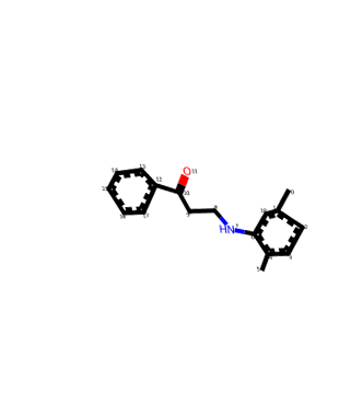 Cc1ccc(C)c(NCCC(=O)c2ccccc2)c1